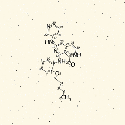 CCCCCOc1ccccc1Nc1nc(Nc2cccnc2)cc2c1C(C=O)NC=C2